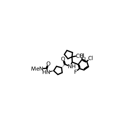 CNC(=O)N[C@@H]1CC[C@@H](C(=O)NC(c2c(F)ccc(Cl)c2Cl)C2(C)CCCC2)C1